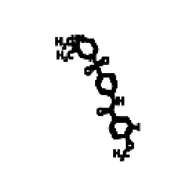 COc1ccc(C(=O)Nc2ccc(S(=O)(=O)N3CCNC(C)(C)C3)cc2)cc1I